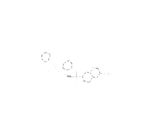 COc1nc2cc(C(C)(C#N)Cc3cccc(CC(C)Cc4ccccc4)c3)ccc2cc1C